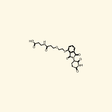 O=C(O)CCNC(=O)CCOCCSc1cccc2c1C(=O)N(C1CCC(=O)NC1=O)C2=O